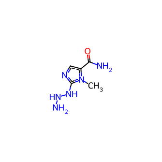 Cn1c(C(N)=O)cnc1NNN